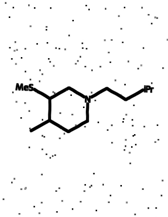 CSC1CN(CCC(C)C)CCC1C